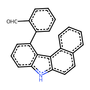 O=Cc1ccccc1-c1cccc2[nH]c3ccc4ccccc4c3c12